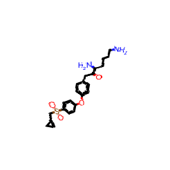 NCCCCC(N)C(=O)Cc1ccc(Oc2ccc(S(=O)(=O)CC3CC3)cc2)cc1